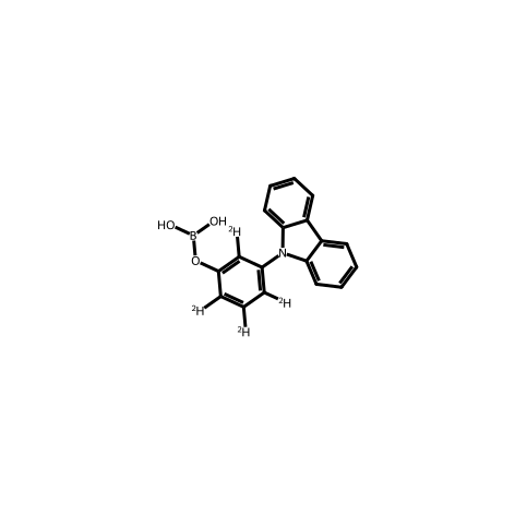 [2H]c1c([2H])c(OB(O)O)c([2H])c(-n2c3ccccc3c3ccccc32)c1[2H]